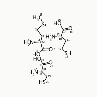 CSCC[C@H](N)C(=O)O.N[C@@H](CCS)C(=O)O.N[C@@H](CS)C(=O)O